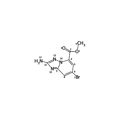 COC(=O)c1cc(Br)cc2nc(N)nn12